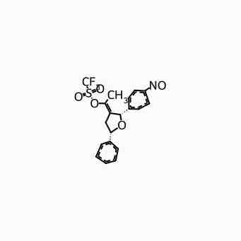 C/C(OS(=O)(=O)C(F)(F)F)=C1/C[C@@H](c2ccccc2)O[C@H]1c1ccc(N=O)cc1